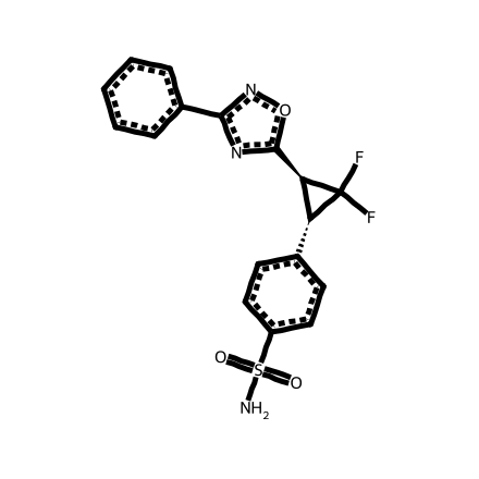 NS(=O)(=O)c1ccc([C@@H]2[C@@H](c3nc(-c4ccccc4)no3)C2(F)F)cc1